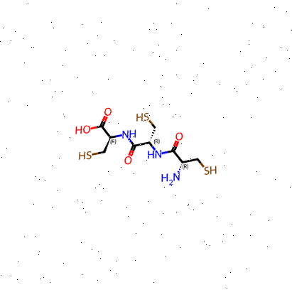 N[C@@H](CS)C(=O)N[C@@H](CS)C(=O)N[C@@H](CS)C(=O)O